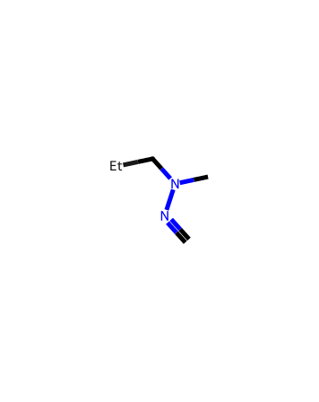 C=NN(C)CCC